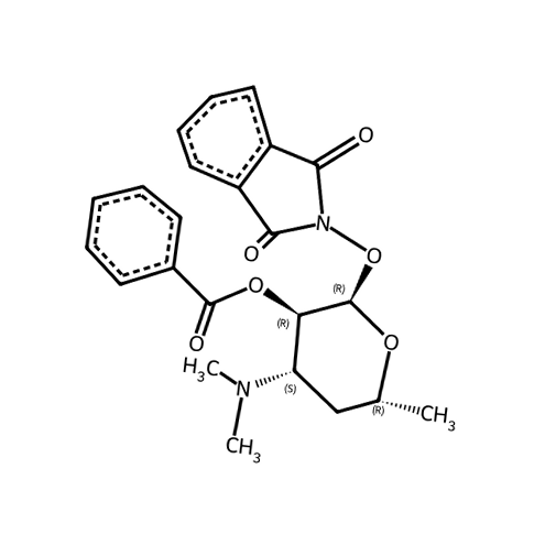 C[C@@H]1C[C@H](N(C)C)[C@@H](OC(=O)c2ccccc2)[C@@H](ON2C(=O)c3ccccc3C2=O)O1